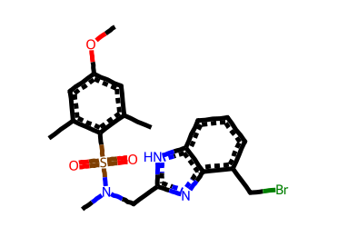 COc1cc(C)c(S(=O)(=O)N(C)Cc2nc3c(CBr)cccc3[nH]2)c(C)c1